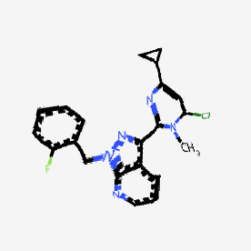 CN1C(c2nn(Cc3ccccc3F)c3ncccc23)=NC(C2CC2)=[C]C1Cl